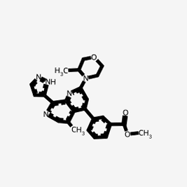 COC(=O)c1cccc(-c2cc(N3CCOCC3C)nc3c(-c4ccn[nH]4)ncc(C)c23)c1